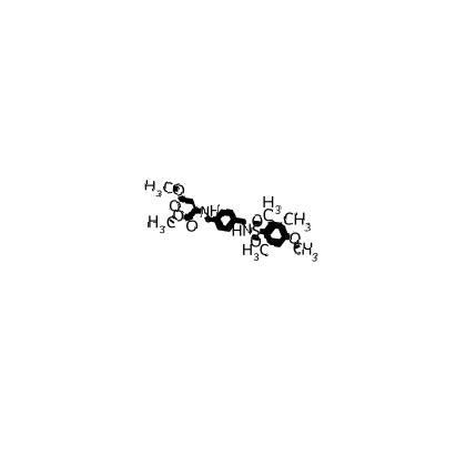 COC(=O)C[C@@H](NCc1ccc(CNS(=O)(=O)c2c(C)cc(OC)c(C)c2C)cc1)C(=O)OC